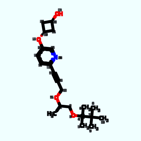 CC(CO[Si](C)(C)C(C)(C)C)OCC#Cc1ccc(O[C@H]2C[C@H](O)C2)cn1